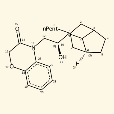 CCCCCC1CC2CC[C@@H](C1)C2C[C@@H](O)CN1C(=O)COc2ccccc21